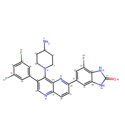 NC1CCN(c2c(-c3cc(F)cc(F)c3)cnc3ccc(-c4cc(F)c5[nH]c(=O)[nH]c5c4)nc23)CC1